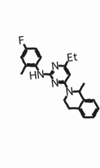 CCc1cc(N2CCc3ccccc3C2C)nc(Nc2ccc(F)cc2C)n1